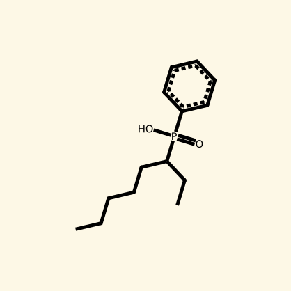 CCCCCC(CC)P(=O)(O)c1ccccc1